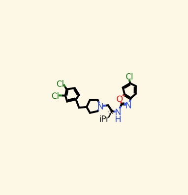 CC(C)[C@@H](CN1CCC(Cc2ccc(Cl)c(Cl)c2)CC1)Nc1nc2ccc(Cl)cc2o1